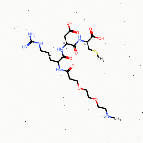 CNCCOCCOCCC(=O)NC(CCCNC(=N)N)C(=O)N[C@@H](CC(=O)O)C(=O)N[C@H](CSC)C(=O)O